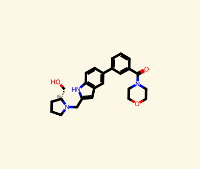 O=C(c1cccc(-c2ccc3[nH]c(CN4CCC[C@@H]4CO)cc3c2)c1)N1CCOCC1